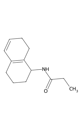 CCC(=O)NC1CCCC2=C1CCC=C2